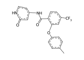 Cc1ccc(Oc2cc(C(F)(F)F)ccc2C(=O)Nc2cc[nH]c(=O)c2)cc1